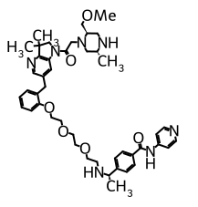 COC[C@H]1CN[C@H](C)CN1CC(=O)N1CC(C)(C)c2ncc(Cc3ccccc3OCCOCCOCCN[C@H](C)c3ccc(C(=O)Nc4ccncc4)cc3)cc21